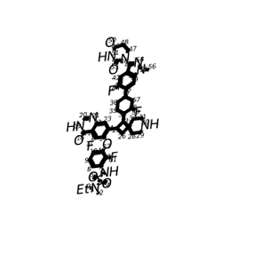 CCN(C)S(=O)(=O)Nc1ccc(F)c(Oc2cc3c(=O)[nH]cnc3cc2C2CC3(CCNCC3)C2C2CCC(c3cc4c(cc3F)c(N3CCC(=O)NC3=O)nn4C)CC2F)c1F